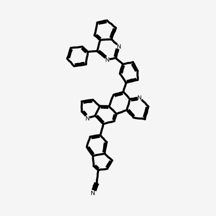 N#Cc1ccc2cc(-c3cc4c5cccnc5c(-c5cccc(-c6nc(-c7ccccc7)c7ccccc7n6)c5)cc4c4cccnc34)ccc2c1